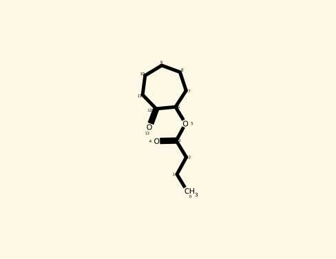 CCCC(=O)OC1CCCCCC1=O